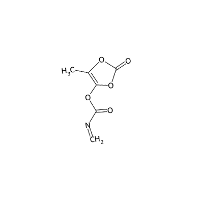 C=NC(=O)Oc1oc(=O)oc1C